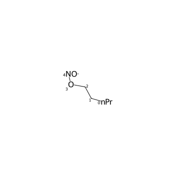 CCCCCO[N+]=O